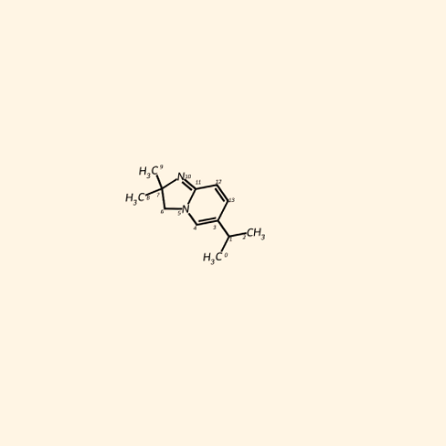 CC(C)C1=CN2CC(C)(C)N=C2C=C1